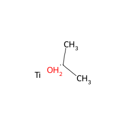 C[CH]C.O.[Ti]